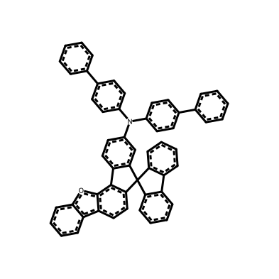 c1ccc(-c2ccc(N(c3ccc(-c4ccccc4)cc3)c3ccc4c(c3)C3(c5ccccc5-c5ccccc53)c3ccc5c(oc6ccccc65)c3-4)cc2)cc1